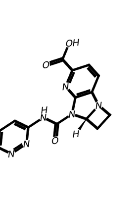 O=C(O)c1ccc2c(n1)N(C(=O)Nc1cccnn1)[C@H]1CCN21